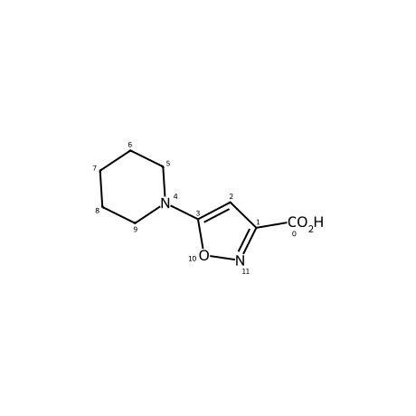 O=C(O)c1cc(N2CCCCC2)on1